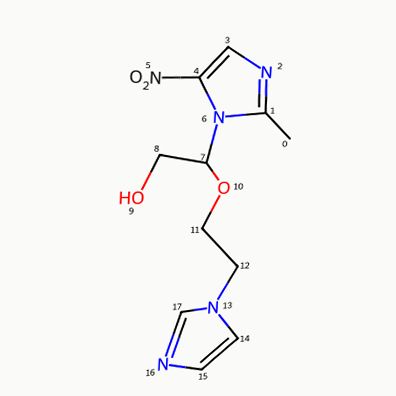 Cc1ncc([N+](=O)[O-])n1C(CO)OCCn1ccnc1